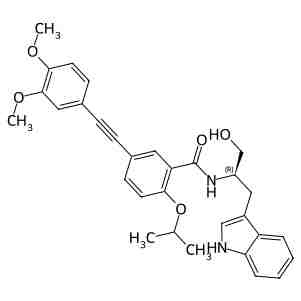 COc1ccc(C#Cc2ccc(OC(C)C)c(C(=O)N[C@@H](CO)Cc3c[nH]c4ccccc34)c2)cc1OC